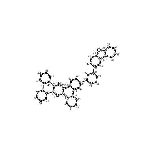 c1ccc(-c2nc3c4ccccc4c4cc(-c5cccc(-c6ccc7oc8ccccc8c7c6)c5)ccc4c3nc2-c2ccccc2)cc1